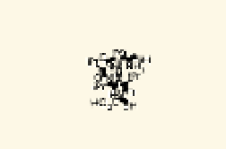 CC(C)C[C@H](NC(=O)[C@@H](NC(=O)[C@H](CC(C)C)NC(=O)[C@@H](NC(=O)[C@@H](N)CS)C(C)C)C(C)C)C(=O)N[C@@H](CS)C(=O)O